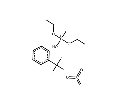 CCO[PH](C)(O)OCC.FC(F)(F)c1ccccc1.O=S(=O)=O